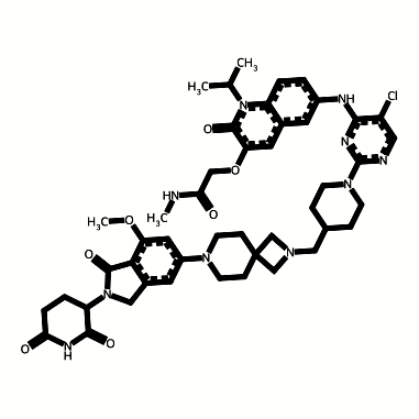 CNC(=O)COc1cc2cc(Nc3nc(N4CCC(CN5CC6(CCN(c7cc8c(c(OC)c7)C(=O)N(C7CCC(=O)NC7=O)C8)CC6)C5)CC4)ncc3Cl)ccc2n(C(C)C)c1=O